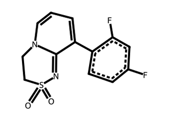 O=S1(=O)CCN2C=CC=C(c3ccc(F)cc3F)C2=N1